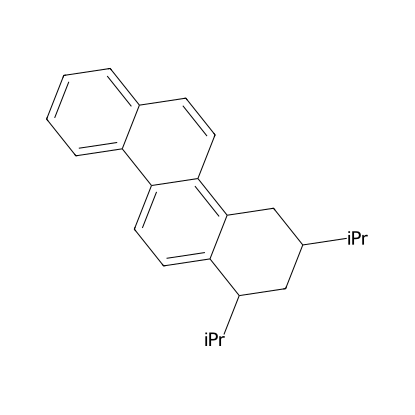 CC(C)C1Cc2c(ccc3c2ccc2ccccc23)C(C(C)C)C1